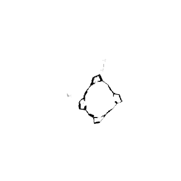 C1=Cc2cc3ccc(cc4nc(cc5ccc(cc1n2)[nH]5)C=C4)[nH]3.I.I.I.I.I.[Cd]